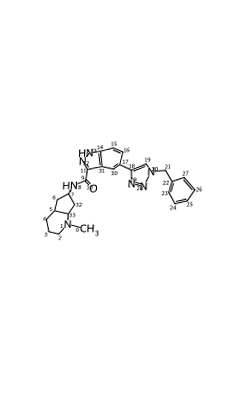 CN1CCCC2C[C@@H](NC(=O)c3n[nH]c4ccc(-c5cn(Cc6ccccc6)nn5)cc34)CC21